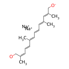 CC(=C/C=C/C(C)=C/C=C/C=C(C)/C=C(\C)C[O-])C[O-].[Na+].[Na+]